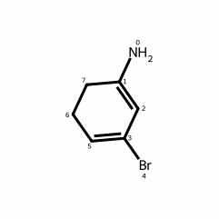 NC1=CC(Br)=CCC1